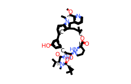 CCn1c(-c2cccnc2[C@H](C)OC)c2c3cc(ccc31)-c1cc(O)cc(c1)C[C@H](NC(=O)[C@H](C(C)C)N(C)C(=O)[C@@H]1CC1(C)C)C(=O)N1CCC[C@H](N1)C(=O)OCC(C)(C)C2